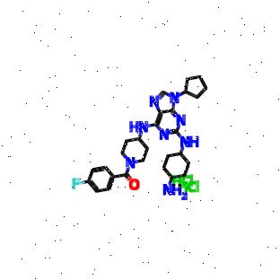 Cl.Cl.NC1CCC(Nc2nc(NC3CCN(C(=O)c4ccc(F)cc4)CC3)c3ncn(C4CCCC4)c3n2)CC1